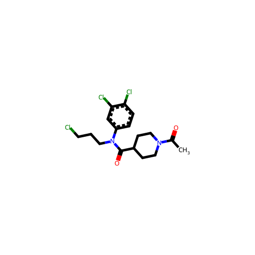 CC(=O)N1CCC(C(=O)N(CCCCl)c2ccc(Cl)c(Cl)c2)CC1